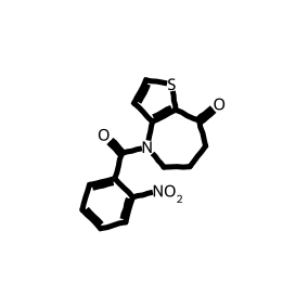 O=C1CCCN(C(=O)c2ccccc2[N+](=O)[O-])c2ccsc21